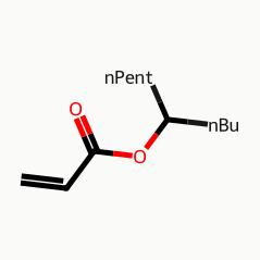 C=CC(=O)OC(CCCC)CCCCC